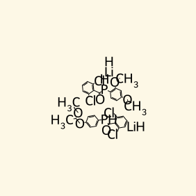 CCOC(C)Oc1ccc(PC(=O)c2c(Cl)cccc2Cl)cc1.COc1ccc(PC(=O)c2c(Cl)cccc2Cl)c(OC)c1.[LiH].[LiH]